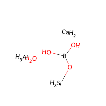 O.OB(O)O[SiH3].[AlH3].[CaH2]